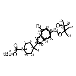 CC(C)(C)OC(=O)N1CCC(C)(c2nc3c(F)cc(B4OC(C)(C)C(C)(C)O4)cc3s2)CC1